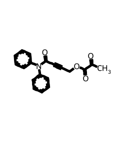 CC(=O)C(=O)OCC#CC(=O)N(c1ccccc1)c1ccccc1